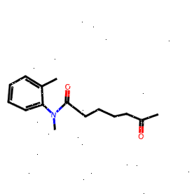 CC(=O)CCCCC(=O)N(C)c1ccccc1C